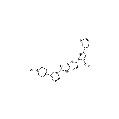 CC(=O)N1CCN(c2cccc(C(=O)Nc3ccc(-n4nc(-c5cccnc5)cc4C(F)(F)F)nn3)c2)CC1